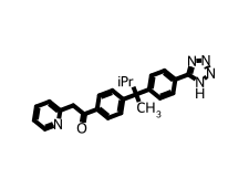 CC(C)C(C)(c1ccc(C(=O)Cc2ccccn2)cc1)c1ccc(-c2nnn[nH]2)cc1